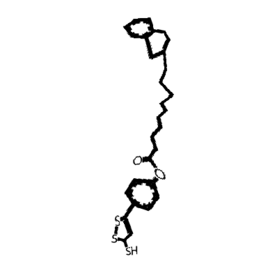 O=C(CCCCCCCCCC1=CCc2ccccc2C1)Oc1ccc(C2=CC(S)SS2)cc1